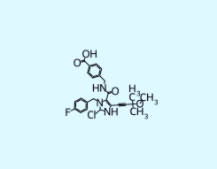 COC(C)(C)C#CC1=C(C(=O)NCc2ccc(C(=O)O)cc2)N(Cc2ccc(F)cc2)C(Cl)N1